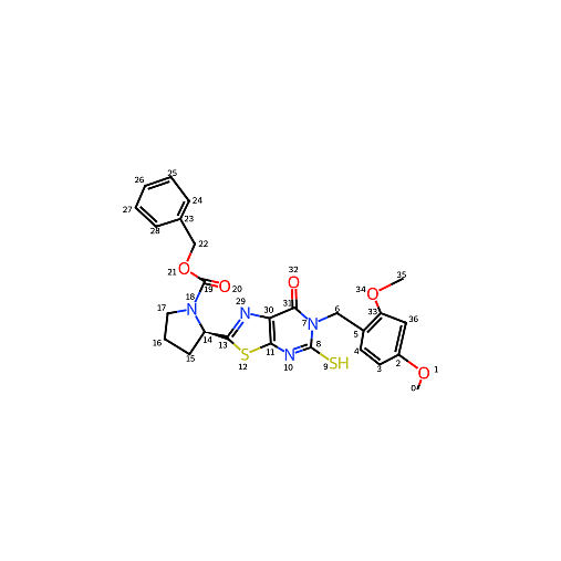 COc1ccc(Cn2c(S)nc3sc([C@H]4CCCN4C(=O)OCc4ccccc4)nc3c2=O)c(OC)c1